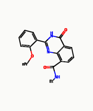 CCCOc1ccccc1-c1nc2c(C(=O)NCC)cccc2c(=O)[nH]1